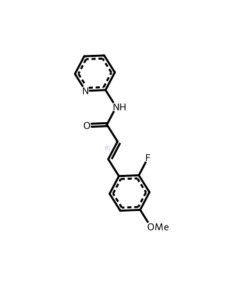 COc1ccc(/C=C/C(=O)Nc2ccccn2)c(F)c1